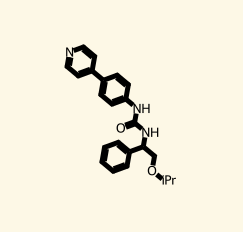 CC(C)OCC(NC(=O)Nc1ccc(-c2ccncc2)cc1)c1ccccc1